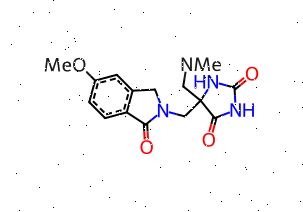 CNCC1(CN2Cc3cc(OC)ccc3C2=O)NC(=O)NC1=O